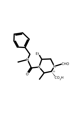 CCC1CN(C=O)[C@H](C(=O)O)C(C)N1C(=O)N(C)Cc1ccccc1